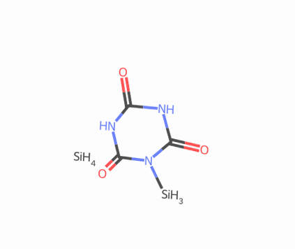 O=c1[nH]c(=O)n([SiH3])c(=O)[nH]1.[SiH4]